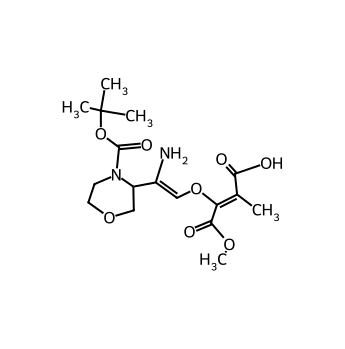 COC(=O)C(OC=C(N)C1COCCN1C(=O)OC(C)(C)C)=C(C)C(=O)O